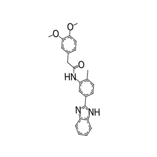 COc1ccc(CC(=O)Nc2cc(-c3nc4ccccc4[nH]3)ccc2C)cc1OC